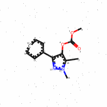 COC(=O)Oc1c(-c2ccccc2)nn(C)c1C